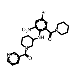 O=C(c1cccnc1)N1CCCC(Nc2c(C(=O)N3CCCCC3)cc(Br)cc2[N+](=O)[O-])C1